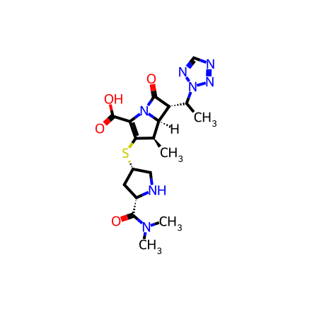 CC([C@H]1C(=O)N2C(C(=O)O)=C(S[C@@H]3CN[C@H](C(=O)N(C)C)C3)[C@H](C)[C@H]12)n1ncnn1